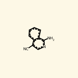 N#Cc1cnc(N)c2ccccc12